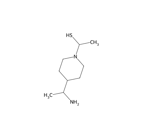 CC(N)C1CCN(C(C)S)CC1